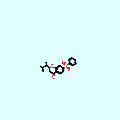 C[C](C)C(C)C1CC(=O)c2ccc(S(=O)(=O)c3ccccc3)cc2O1